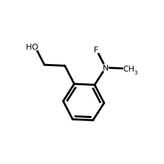 CN(F)c1ccccc1CCO